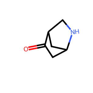 O=C1CC2CC1CN2